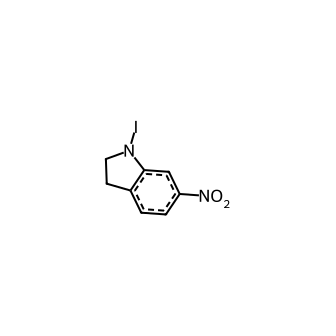 O=[N+]([O-])c1ccc2c(c1)N(I)CC2